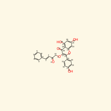 O=C(/C=C/c1ccccc1)COc1c(-c2ccc(O)cc2)oc2cc(O)cc(O)c2c1=O